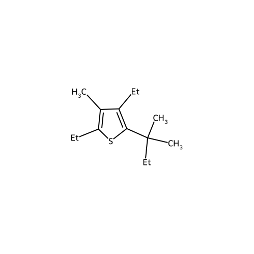 CCc1sc(C(C)(C)CC)c(CC)c1C